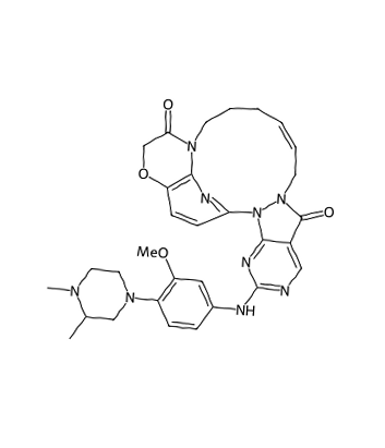 COc1cc(Nc2ncc3c(=O)n4n(c3n2)-c2ccc3c(n2)N(CCC/C=C\C4)C(=O)CO3)ccc1N1CCN(C)C(C)C1